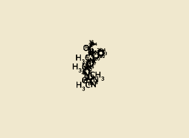 Cc1ncnc(C)c1C(=O)N1CCC(C)(N2CCN([C@@H](Cc3ccccc3)C3CN(C(=O)C4CC4)C3)[C@@H](C)C2)CC1